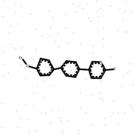 CCOc1ccc(-c2ccc(-c3ccc(F)nc3)cc2)cc1